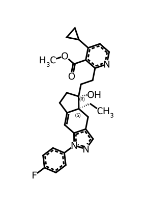 CC[C@]12Cc3cnn(-c4ccc(F)cc4)c3C=C1CC[C@@]2(O)CCc1nccc(C2CC2)c1C(=O)OC